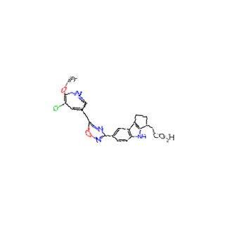 CC(C)Oc1ncc(-c2nc(-c3ccc4[nH]c5c(c4c3)CCC5CC(=O)O)no2)cc1Cl